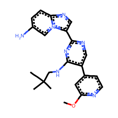 COc1cc(-c2cnc(-c3cnc4ccc(N)cn34)nc2NCC(C)(C)C)ccn1